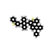 c1ccc(-c2c3ccccc3c(-c3cccc4sc5cc(-c6c7ccccc7c(-c7ccc8sc9ccccc9c8c7)c7ccccc67)ccc5c34)c3ccccc23)cc1